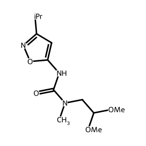 COC(CN(C)C(=O)Nc1cc(C(C)C)no1)OC